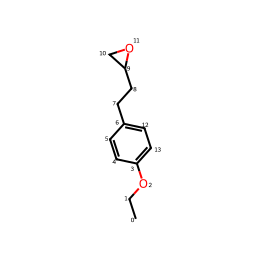 CCOc1ccc(CCC2CO2)cc1